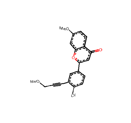 COCC#Cc1cc(-c2cc(=O)c3ccc(OC)cc3o2)ccc1C#N